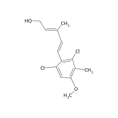 COc1cc(Cl)c(C=CC(C)=CCO)c(Cl)c1C